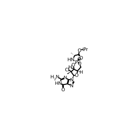 CC(C)OC(=O)[C@@H](C)N[P@]1(=O)OC[C@H]2O[C@@H](n3cnc4c(=O)[nH]c(N)nc43)[C@](C)(Cl)[C@@H]2O1